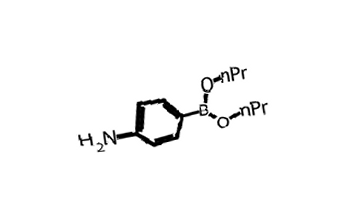 CCCOB(OCCC)c1ccc(N)cc1